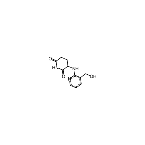 O=C1CCC(Nc2ncccc2CO)C(=O)N1